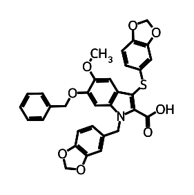 COc1cc2c(Sc3ccc4c(c3)OCO4)c(C(=O)O)n(Cc3ccc4c(c3)OCO4)c2cc1OCc1ccccc1